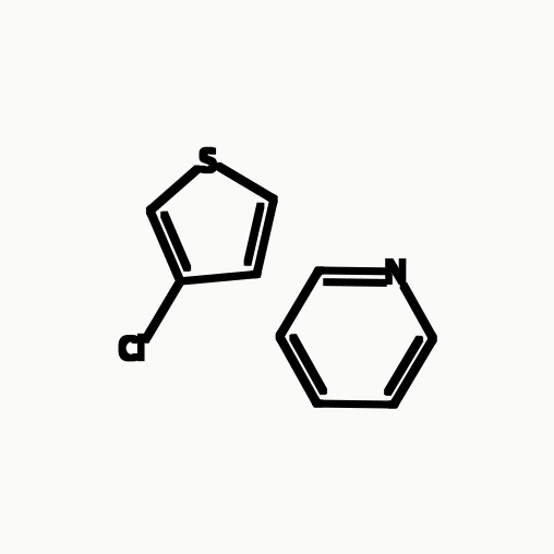 Clc1ccsc1.c1ccncc1